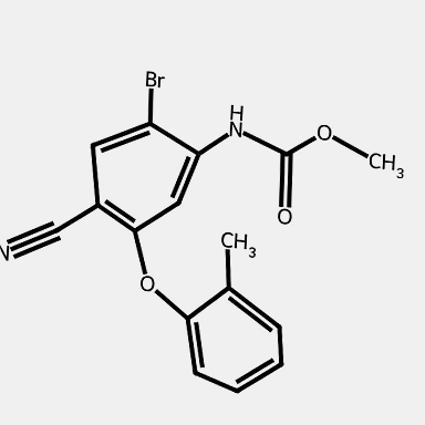 COC(=O)Nc1cc(Oc2ccccc2C)c(C#N)cc1Br